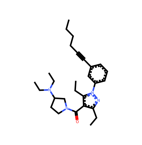 CCCCC#Cc1cccc(-n2nc(CC)c(C(=O)N3CCC(N(CC)CC)C3)c2CC)c1